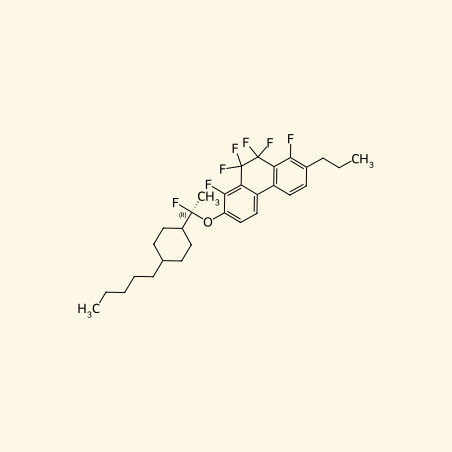 CCCCCC1CCC([C@@](C)(F)Oc2ccc3c(c2F)C(F)(F)C(F)(F)c2c-3ccc(CCC)c2F)CC1